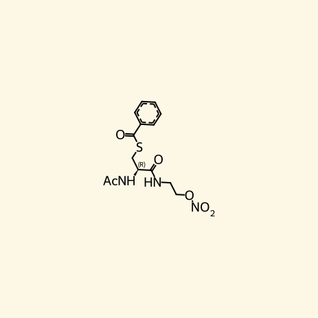 CC(=O)N[C@@H](CSC(=O)c1ccccc1)C(=O)NCCO[N+](=O)[O-]